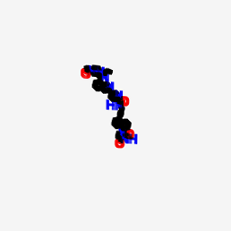 CCc1nc(-c2cccc3cc(-c4ccc(C(=O)NCC#Cc5cccc6c(N7CCC(=O)NC7=O)cccc56)nc4)ncc23)c2n1CCN(C(C)=O)C2